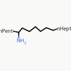 CCCCCCCCCCCCCC(N)CCCCC